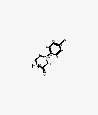 Cc1ccc(N2CCNC(=O)C2)cc1